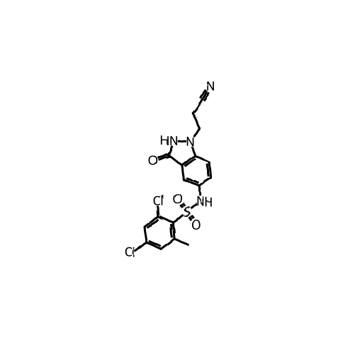 Cc1cc(Cl)cc(Cl)c1S(=O)(=O)Nc1ccc2c(c1)c(=O)[nH]n2CCC#N